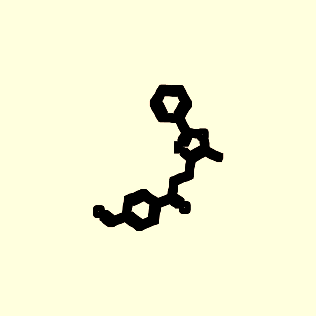 Cc1oc(-c2ccccc2)nc1CCC(=O)c1ccc(C=O)cc1